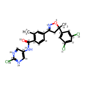 Cc1cc(C2=NOC(c3cc(Cl)cc(Cl)c3)(C(F)(F)F)C2)ccc1C(=O)Nc1cnc(Cl)nc1